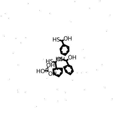 OC(S)c1ccccc1.OC(S)c1ccccc1.OC(S)c1ccccc1.OP(O)O